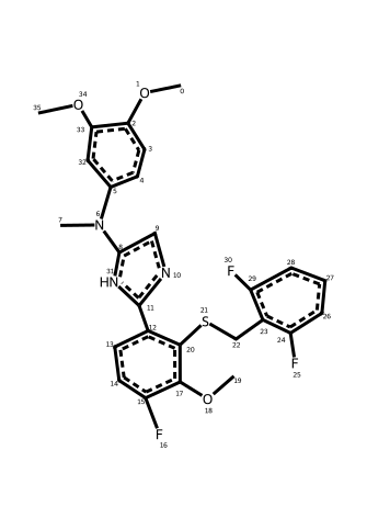 COc1ccc(N(C)c2cnc(-c3ccc(F)c(OC)c3SCc3c(F)cccc3F)[nH]2)cc1OC